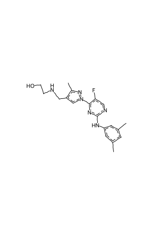 Cc1cc(C)cc(Nc2ncc(F)c(-n3cc(CNCCO)c(C)n3)n2)c1